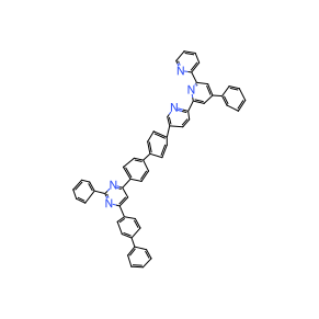 c1ccc(-c2ccc(-c3cc(-c4ccc(-c5ccc(-c6ccc(-c7cc(-c8ccccc8)cc(-c8ccccn8)n7)nc6)cc5)cc4)nc(-c4ccccc4)n3)cc2)cc1